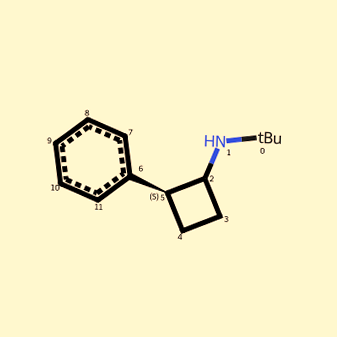 CC(C)(C)NC1CC[C@H]1c1ccccc1